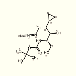 CC(C)(C)OC(=O)N[C@H](CO)[C@H](O)[C@H](CN=[N+]=[N-])C1CC1